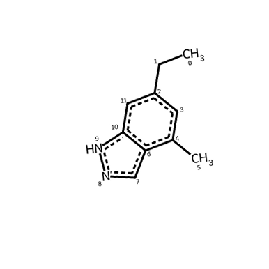 CCc1cc(C)c2cn[nH]c2c1